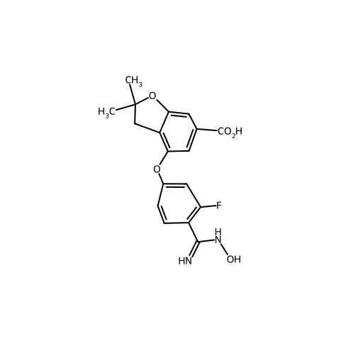 CC1(C)Cc2c(Oc3ccc(C(=N)NO)c(F)c3)cc(C(=O)O)cc2O1